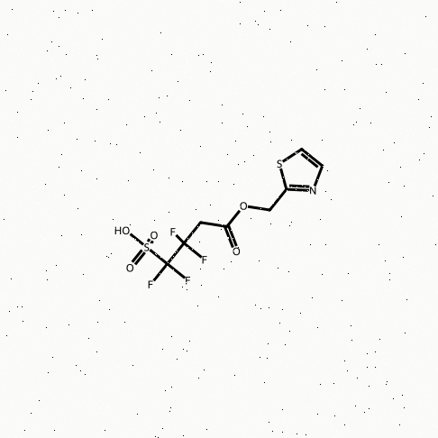 O=C(CC(F)(F)C(F)(F)S(=O)(=O)O)OCc1nccs1